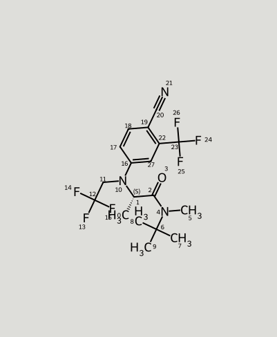 C[C@@H](C(=O)N(C)C(C)(C)C)N(CC(F)(F)F)c1ccc(C#N)c(C(F)(F)F)c1